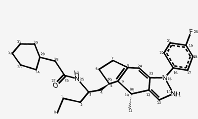 CCCC(C[C@H]1CCC2=C1[C@@H](C)C1=CNN(c3ccc(F)cc3)C1=C2)NC(=O)CC1CCCCC1